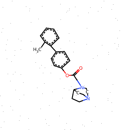 Cc1ccccc1-c1ccc(OC(=O)N2CCN3CCC2CC3)cc1